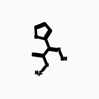 COC(=O)/C(=N\O)c1ccco1